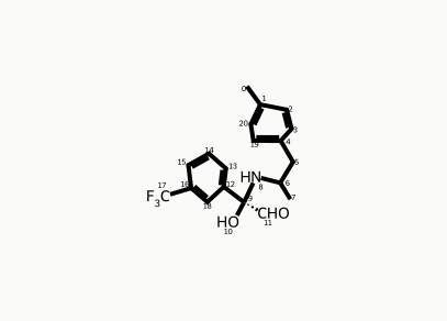 Cc1ccc(CC(C)N[C@](O)(C=O)c2cccc(C(F)(F)F)c2)cc1